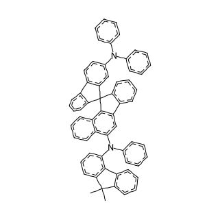 CC1(C)c2ccccc2-c2c(N(c3ccccc3)c3cc4c(c5ccccc35)C3(c5ccccc5-c5ccc(N(c6ccccc6)c6ccccc6)cc53)c3ccccc3-4)cccc21